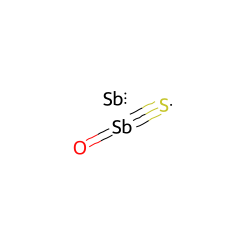 [O]=[Sb]#[S].[Sb]